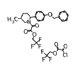 CC1CCC(c2ccc(OCc3ccccc3)cc2)N(C(=O)C(=O)OCC(F)(F)F)C1.O=C(Cl)C(=O)OCC(F)(F)F